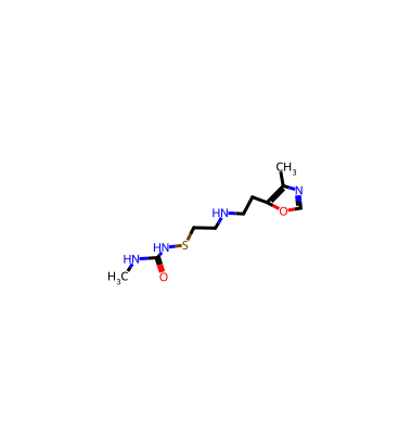 CNC(=O)NSCCNCCc1ocnc1C